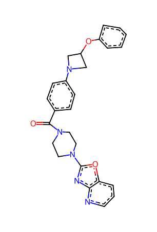 O=C(c1ccc(N2CC(Oc3ccccc3)C2)cc1)N1CCN(c2nc3ncccc3o2)CC1